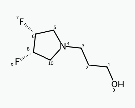 OCCCN1C[C@@H](F)[C@@H](F)C1